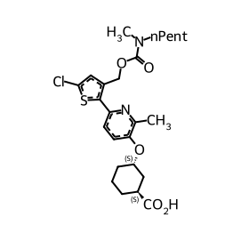 CCCCCN(C)C(=O)OCc1cc(Cl)sc1-c1ccc(O[C@H]2CCC[C@H](C(=O)O)C2)c(C)n1